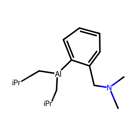 CC(C)[CH2][Al]([CH2]C(C)C)[c]1ccccc1CN(C)C